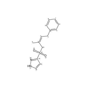 CC(=CCc1ccccc1)CS(=O)(=O)c1cc[nH]n1